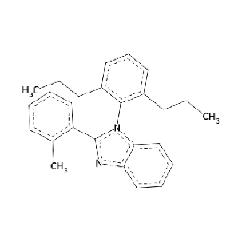 CCCc1cccc(CCC)c1-n1c(-c2ccccc2C)nc2ccccc21